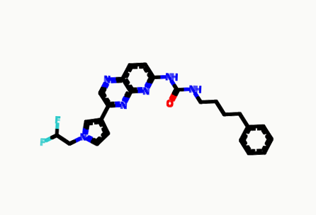 O=C(NCCCCc1ccccc1)Nc1ccc2ncc(-c3ccn(CC(F)F)c3)nc2n1